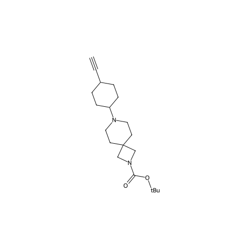 C#CC1CCC(N2CCC3(CC2)CN(C(=O)OC(C)(C)C)C3)CC1